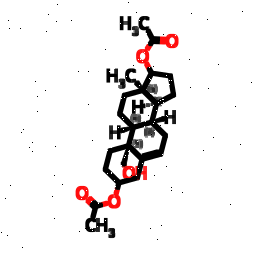 CC(=O)OC1CC[C@@]2(CO)C(=CC[C@@H]3[C@H]2CC[C@]2(C)C(OC(C)=O)CC[C@@H]32)C1